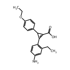 CCOc1ccc(C2C(C(=O)O)=C2c2ccc(N)cc2CC)cc1